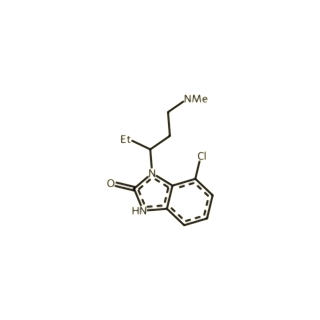 CCC(CCNC)n1c(=O)[nH]c2cccc(Cl)c21